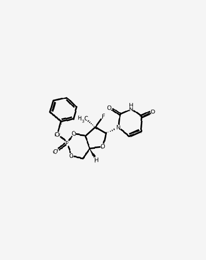 C[C@@]1(F)C2OP(=O)(Oc3ccccc3)OC[C@H]2O[C@H]1n1ccc(=O)[nH]c1=O